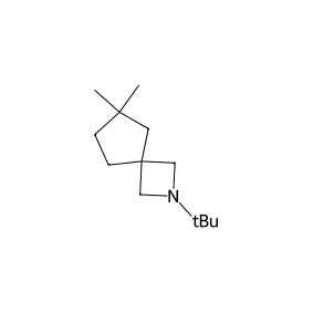 CC1(C)CCC2(CN(C(C)(C)C)C2)C1